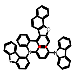 c1ccc(N(c2ccc(-n3c4ccccc4c4ccccc43)cc2)c2cccc3sc4ccccc4c23)c(-c2cccc3oc4c5ccccc5ccc4c23)c1